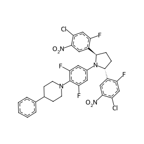 O=[N+]([O-])c1cc([C@H]2CC[C@H](c3cc([N+](=O)[O-])c(Cl)cc3F)N2c2cc(F)c(N3CCC(c4ccccc4)CC3)c(F)c2)c(F)cc1Cl